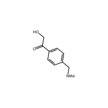 CNCc1ccc(C(=O)CO)cc1